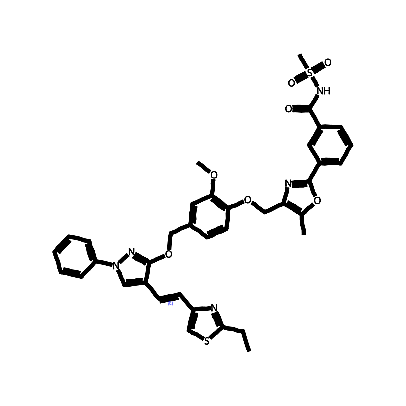 CCc1nc(/C=C/c2cn(-c3ccccc3)nc2OCc2ccc(OCc3nc(-c4cccc(C(=O)NS(C)(=O)=O)c4)oc3C)c(OC)c2)cs1